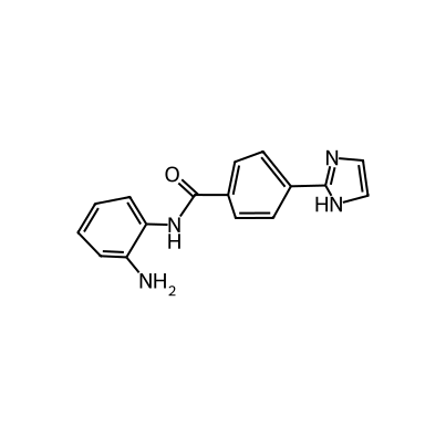 Nc1ccccc1NC(=O)c1ccc(-c2ncc[nH]2)cc1